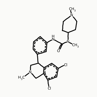 CN1CCC(N(C)C(=O)Nc2cccc(C3CN(C)Cc4c(Cl)cc(Cl)cc43)c2)CC1